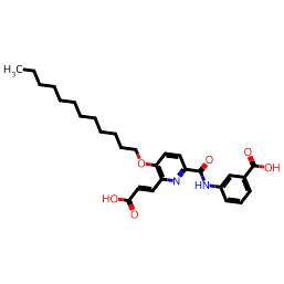 CCCCCCCCCCCCOc1ccc(C(=O)Nc2cccc(C(=O)O)c2)nc1/C=C/C(=O)O